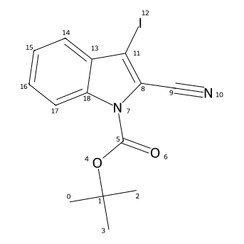 CC(C)(C)OC(=O)n1c(C#N)c(I)c2ccccc21